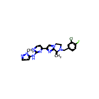 C=C1c2nc(-c3ccnc(Nc4ccnn4C)n3)cn2CCN1Cc1ccc(F)c(Cl)c1